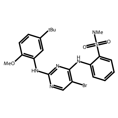 CNS(=O)(=O)c1ccccc1Nc1nc(Nc2cc(C(C)(C)C)ccc2OC)ncc1Br